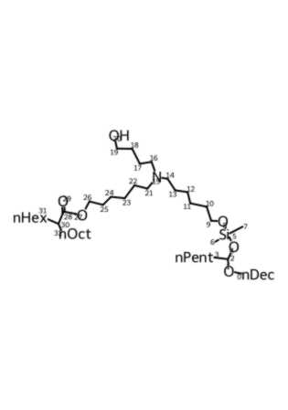 CCCCCCCCCCOC(CCCCC)O[Si](C)(C)OCCCCCCN(CCCCO)CCCCCCOC(=O)C(CCCCCC)CCCCCCCC